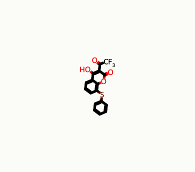 O=C(c1c(O)c2cccc(Sc3ccccc3)c2oc1=O)C(F)(F)F